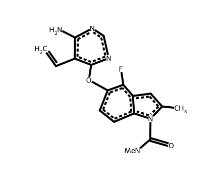 C=Cc1c(N)ncnc1Oc1ccc2c(cc(C)n2C(=O)NC)c1F